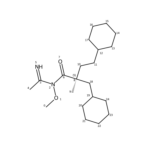 CON(C(C)=N)C(=O)[C@@](C)(CCC1CCCCC1)CC1CCCCC1